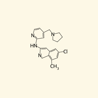 Cc1cc(Cl)cc2cc(Nc3cc(CN4CCCC4)ccn3)ncc12